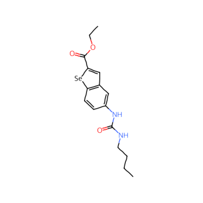 CCCCNC(=O)Nc1ccc2[se]c(C(=O)OCC)cc2c1